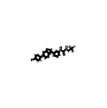 O=C(NCC(F)(F)F)Nc1cncc(-c2cnn3cc(-c4ccc(F)cc4)cnc23)c1